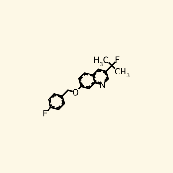 CC(C)(F)c1cnc2cc(OCc3ccc(F)cc3)ccc2c1